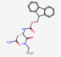 NC(=O)C[C@H](NC(=O)OCC1c2ccccc2-c2ccccc21)C(=O)NCC(=O)O